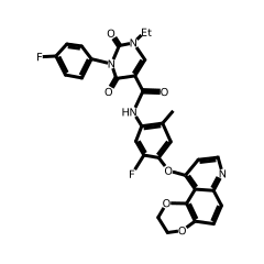 CCn1cc(C(=O)Nc2cc(F)c(Oc3ccnc4ccc5c(c34)OCCO5)cc2C)c(=O)n(-c2ccc(F)cc2)c1=O